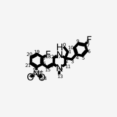 CCC1(Cc2ccc(F)cc2)CN(C)C(=Cc2c(F)cccc2[N+](=O)[O-])CN1